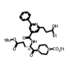 CCOC(=O)N1CCN(C(=O)[C@H](CCC(=O)OC(C)(C)C)NC(=O)c2cc(CCC(O)CC)nc(-c3ccccc3)c2)CC1